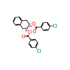 O=C(O[C@H]1Cc2ccccc2C[C@H]1OC(=O)c1ccc(Cl)cc1)c1ccc(Cl)cc1